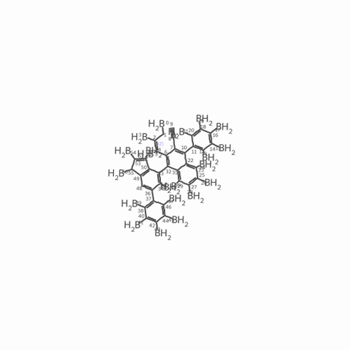 BC/C(B)=C(/B)c1c(C#C)c(-c2c(B)c(B)c(B)c(B)c2B)c2c(B)c(B)c(B)c(B)c2c1-c1c(B)c(-c2c(B)c(B)c(B)c(B)c2B)cc2c1C(B)=C(B)C2B